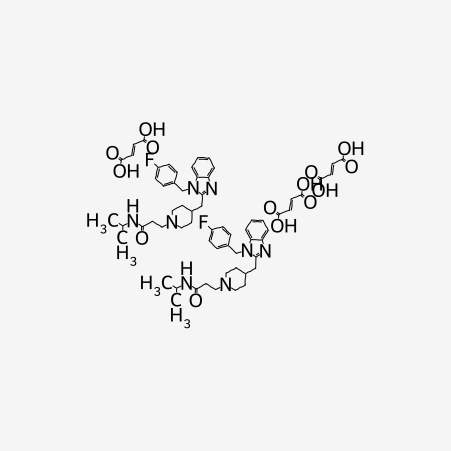 CC(C)NC(=O)CCN1CCC(Cc2nc3ccccc3n2Cc2ccc(F)cc2)CC1.CC(C)NC(=O)CCN1CCC(Cc2nc3ccccc3n2Cc2ccc(F)cc2)CC1.O=C(O)C=CC(=O)O.O=C(O)C=CC(=O)O.O=C(O)C=CC(=O)O